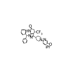 CC(C)Oc1ccc(N2CCC(c3nn(C(c4ccccc4)c4ccccc4)c4c3C(C(F)(F)F)CC(=O)N4)CC2)nc1